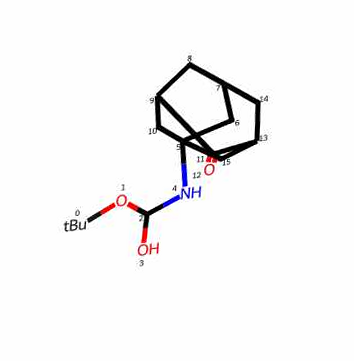 CC(C)(C)OC(O)NC12CC3CC(C1)C(=O)C(C3)C2